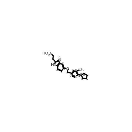 O=C(O)CCc1[nH]c2ccc(OCc3cnc(C4CCCC4)c(C(F)(F)F)c3)cc2c1F